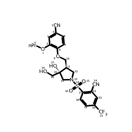 CCCOc1cc(C#N)ccc1OC[C@H]1CN(S(=O)(=O)c2ccc(C(F)(F)F)cc2C#N)C[C@@]1(O)CO